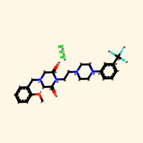 COc1ccccc1CN1CC(=O)N(CCN2CCN(c3cccc(C(F)(F)F)c3)CC2)C(=O)C1.Cl.Cl.Cl